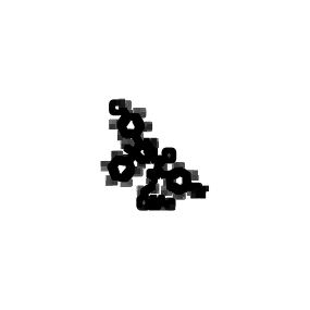 COCCSN(C(=O)N1CC(C)(c2ccccc2)C(c2ccc(Cl)cc2)=N1)c1ccc(Br)cc1